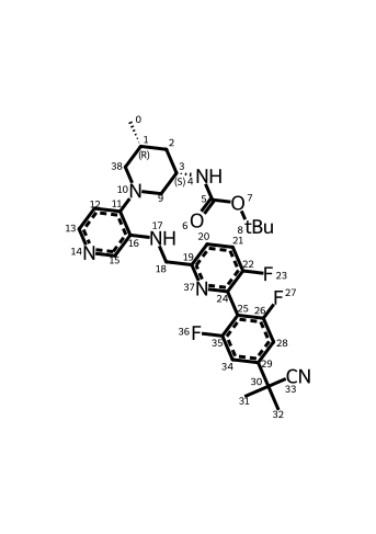 C[C@@H]1C[C@H](NC(=O)OC(C)(C)C)CN(c2ccncc2NCc2ccc(F)c(-c3c(F)cc(C(C)(C)C#N)cc3F)n2)C1